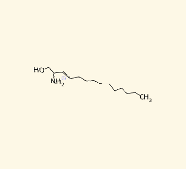 CCCCCCCCCC/C=C/C(N)CO